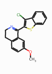 COc1ccc2c(c1)C(c1sc3ccccc3c1Cl)=NCC2